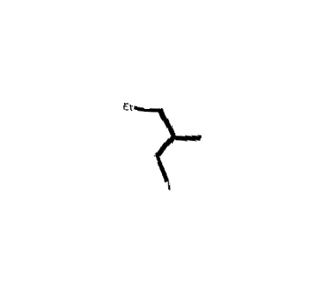 CCCC(C)[CH]I